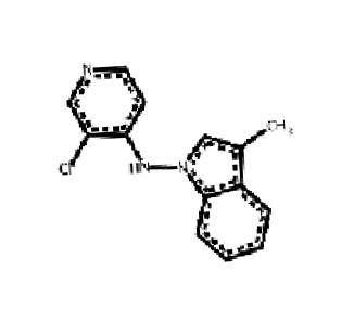 Cc1cn(Nc2ccncc2Cl)c2ccccc12